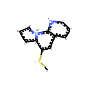 CSc1cc2cccnc2n2cccc12